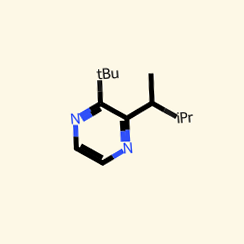 CC(C)C(C)c1nccnc1C(C)(C)C